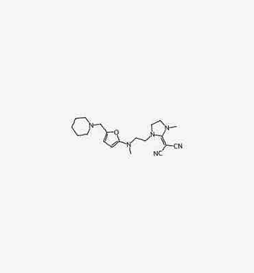 CN1CCN(CCN(C)c2ccc(CN3CCCCC3)o2)C1=C(C#N)C#N